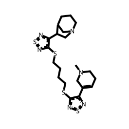 CN1CCC=C(c2nsnc2SCCCCSc2nsnc2C2CN3CCCC2C3)C1